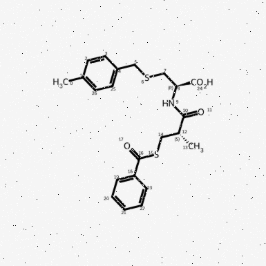 Cc1ccc(CSC[C@H](NC(=O)[C@H](C)CSC(=O)c2ccccc2)C(=O)O)cc1